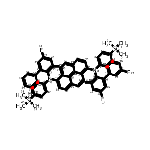 C[Si](C)(C)c1ccc(N(c2c(F)cc(F)cc2-c2cccc(F)c2)c2ccc3ccc4c(N(c5ccc([Si](C)(C)C)cc5)c5c(F)cc(F)cc5-c5cccc(F)c5)ccc5ccc2c3c54)cc1